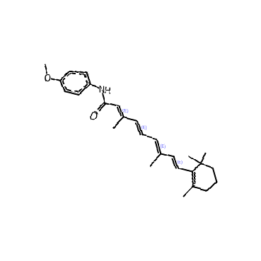 COc1ccc(NC(=O)/C=C(C)/C=C/C=C(C)/C=C/C2=C(C)CCCC2(C)C)cc1